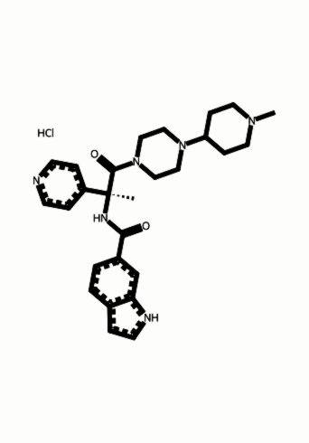 CN1CCC(N2CCN(C(=O)[C@@](C)(NC(=O)c3ccc4cc[nH]c4c3)c3ccncc3)CC2)CC1.Cl